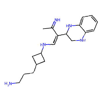 CC(=N)/C(=C\NC1CC(CCCN)C1)C1CNc2ccccc2N1